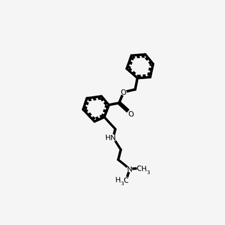 CN(C)CCNCc1ccccc1C(=O)OCc1ccccc1